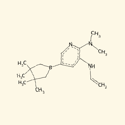 C=CNc1cc(B2CC(C)(C)C(C)(C)C2)cnc1N(C)C